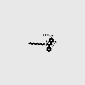 CCCCCCCCCCOC(=O)C(C(=O)c1c(OC)cc(OC)cc1OC)c1ccccc1.O=[PH3]